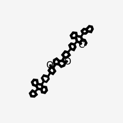 C1=C(c2ccc3c(c2)oc2ccc4c(ccc5oc6cc(-c7ccc(-c8c9ccccc9c(-c9ccc%10ccccc%10c9)c9ccccc89)cc7)ccc6c54)c23)CCC(c2c3ccccc3c(-c3ccccc3)c3ccccc23)=C1